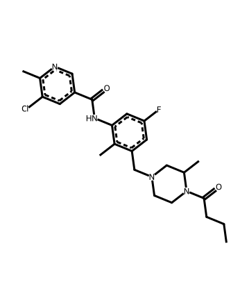 CCCC(=O)N1CCN(Cc2cc(F)cc(NC(=O)c3cnc(C)c(Cl)c3)c2C)CC1C